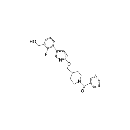 O=C(c1cccnc1)N1CCC(COc2ncc(-c3cccc(CO)c3F)cn2)CC1